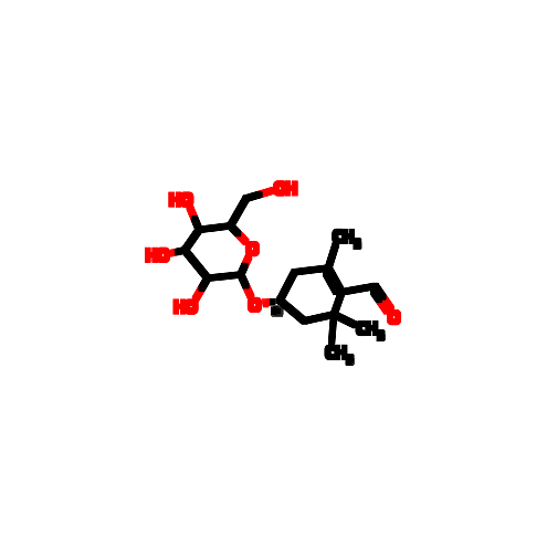 CC1=C(C=O)C(C)(C)C[C@H](OC2OC(CO)C(O)C(O)C2O)C1